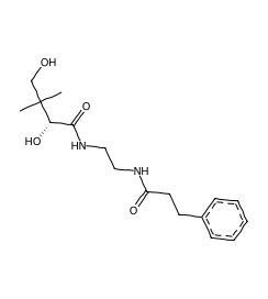 CC(C)(CO)[C@@H](O)C(=O)NCCNC(=O)CCc1ccccc1